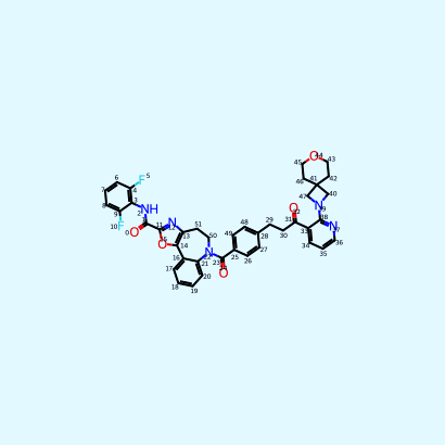 O=C(Nc1c(F)cccc1F)c1nc2c(o1)-c1ccccc1N(C(=O)c1ccc(CCC(=O)c3cccnc3N3CC4(CCOCC4)C3)cc1)CC2